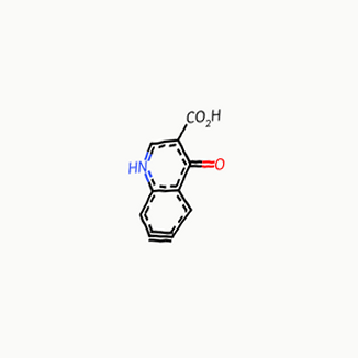 O=C(O)c1c[nH]c2cc#ccc2c1=O